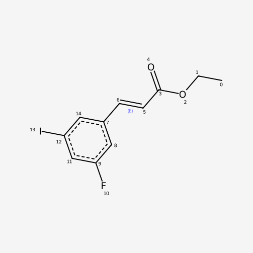 CCOC(=O)/C=C/c1cc(F)cc(I)c1